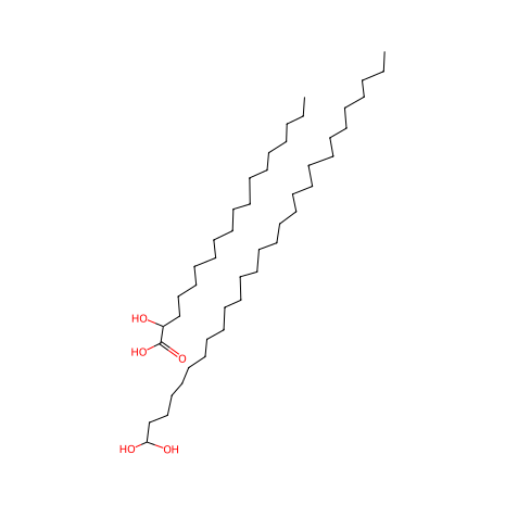 CCCCCCCCCCCCCCCCC(O)C(=O)O.CCCCCCCCCCCCCCCCCCCCCCCCCCCC(O)O